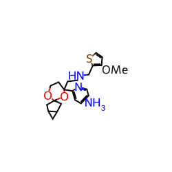 COc1ccsc1CNCCC1(c2ccccn2)CCOC2(CC3CC3C2)O1.N